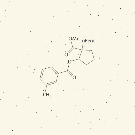 CCCCCC1(C(=O)OC)CCCC1OC(=O)c1cccc(C)c1